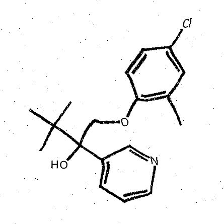 Cc1cc(Cl)ccc1OCC(O)(c1cccnc1)C(C)(C)C